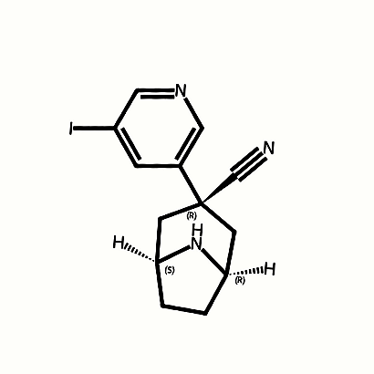 N#C[C@@]1(c2cncc(I)c2)C[C@H]2CC[C@@H](C1)N2